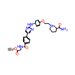 CC(C)(C)OC(=O)CNC(=O)c1ccc(-c2cnc(Nc3ccc(OCCN4CCCC(C(N)=O)C4)cc3)nc2)cc1